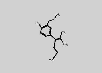 CCCC(c1ccc(O)c(COC)c1)C(C)C